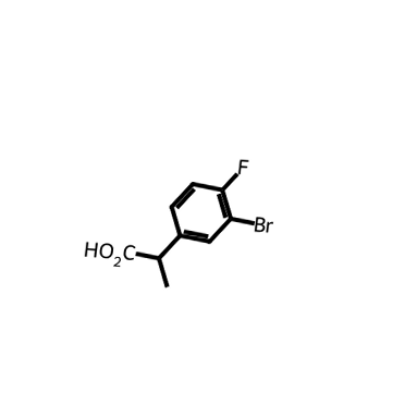 CC(C(=O)O)c1ccc(F)c(Br)c1